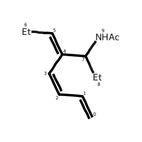 C=C/C=C\C(=C/CC)C(CC)NC(C)=O